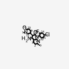 Cc1ccc2c(N)c(-c3ccc(=O)n(C)c3)c(=O)n(-c3ccc(Cl)cc3F)c2n1